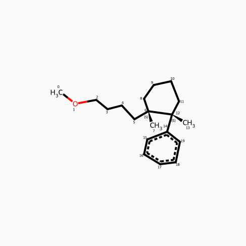 COCCCC[C@]1(C)CCCC[C@]1(C)c1ccccc1